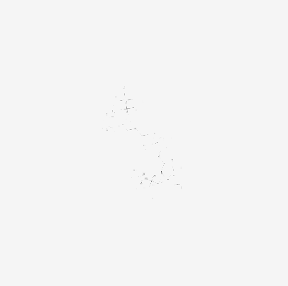 CO[Si](CCCS[Si](C)(C)SCCC[Si](OC)(OC)PC(C)(C)[Si](C)(C)O)(OC)PC(C)(C)[Si](C)(C)C